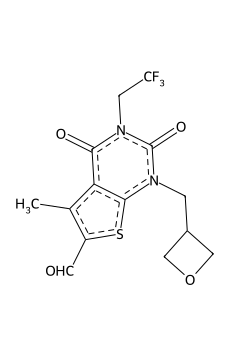 Cc1c(C=O)sc2c1c(=O)n(CC(F)(F)F)c(=O)n2CC1COC1